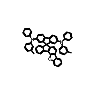 Cc1cccc(N(c2ccccc2)c2ccc3c(c2)C2(c4cc(N(c5ccccc5)c5cccc(C)c5)ccc4-3)c3ccccc3-c3c2ccc2c3oc3ccccc32)c1